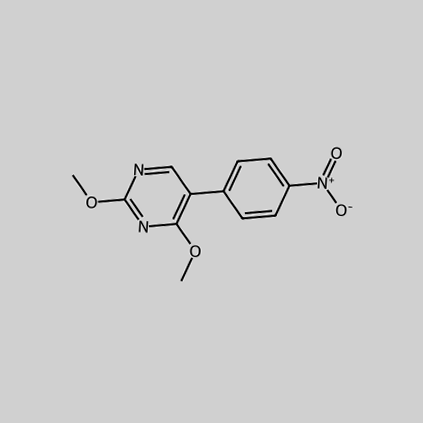 COc1ncc(-c2ccc([N+](=O)[O-])cc2)c(OC)n1